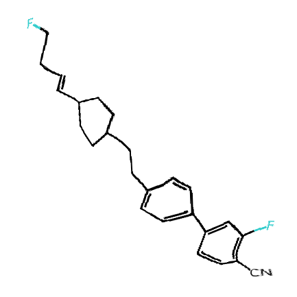 N#Cc1ccc(-c2ccc(CCC3CCC(C=CCCF)CC3)cc2)cc1F